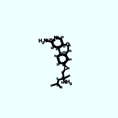 CC(C)CC(C)(N)COc1ccc2c(c1)COc1cnc(N)cc1-2